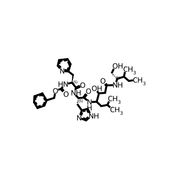 CCC(C)[C@@H](CO)NC(=O)CC(O)C(CC(C)C)NC(=O)[C@H](Cc1c[nH]cn1)NC(=O)[C@H](Cc1ccccn1)NC(=O)OCc1ccccc1